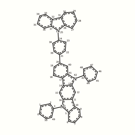 c1ccc(-n2c3ccccc3c3cc4c(cc32)c2ccc(-c3ccc(-n5c6ccccc6c6ccccc65)cc3)cc2n4-c2ccccc2)cc1